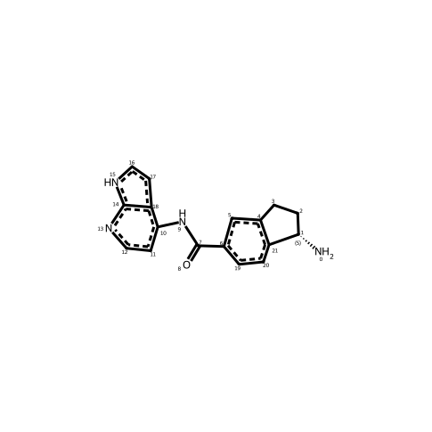 N[C@H]1CCc2cc(C(=O)Nc3ccnc4[nH]ccc34)ccc21